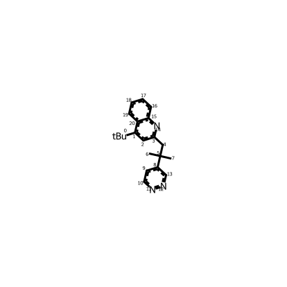 CC(C)(C)c1cc(CC(C)(C)c2ccnnc2)nc2ccccc12